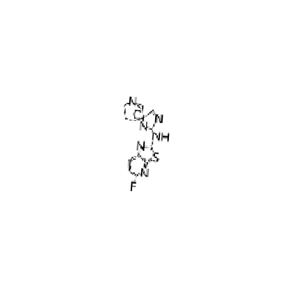 Fc1ccc2nc(NC3=NC4(C=N3)CN3CCC4CC3)sc2n1